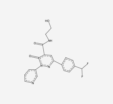 O=C(NCCO)c1cc(-c2ccc(C(F)F)cc2)nn(-c2cccnc2)c1=O